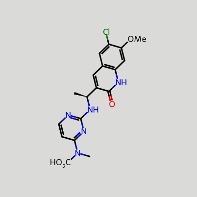 COc1cc2[nH]c(=O)c([C@H](C)Nc3nccc(N(C)C(=O)O)n3)cc2cc1Cl